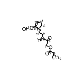 C=CC(=O)OCC(=O)NCCN1CCN=C1C=O